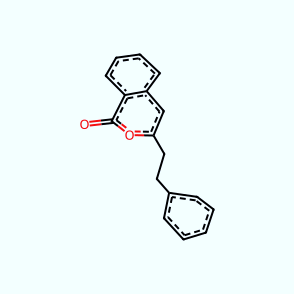 O=c1oc(CCc2ccccc2)cc2ccccc12